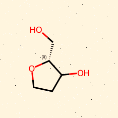 OC[C@H]1OCC[C]1O